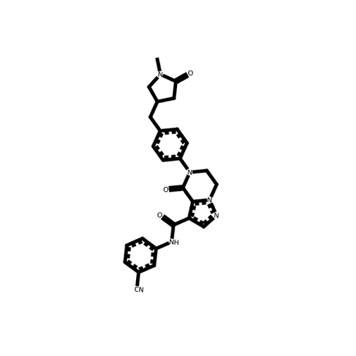 CN1CC(Cc2ccc(N3CCn4ncc(C(=O)Nc5cccc(C#N)c5)c4C3=O)cc2)CC1=O